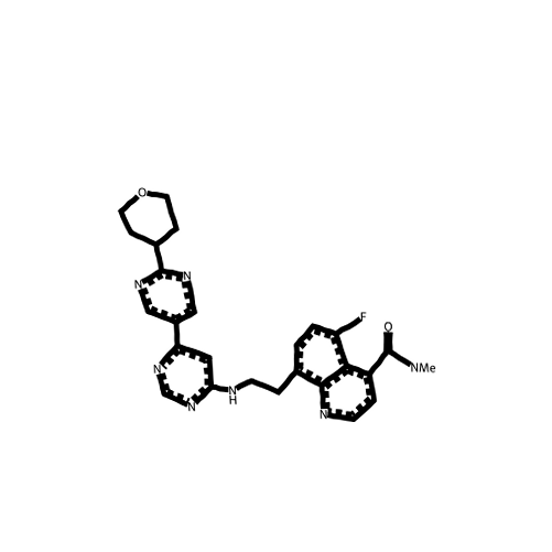 CNC(=O)c1ccnc2c(CCNc3cc(-c4cnc(C5CCOCC5)nc4)ncn3)ccc(F)c12